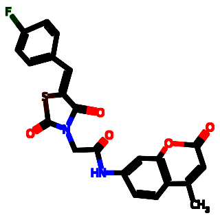 Cc1cc(=O)oc2cc(NC(=O)CN3C(=O)S/C(=C\c4ccc(F)cc4)C3=O)ccc12